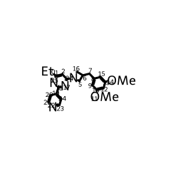 CCc1cc(N2CC(Cc3cc(OC)cc(OC)c3)C2)nc(-c2ccncc2)n1